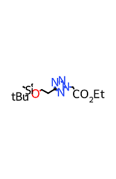 CCOC(=O)Cn1nnc(CCO[Si](C)(C)C(C)(C)C)n1